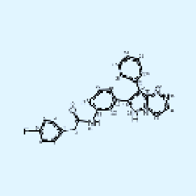 O=C(Cc1ccc(F)cc1)Nc1cc(-c2[nH]c3ccnnc3c2-c2ccccc2)ccn1